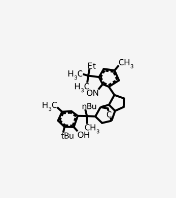 CCCCC(C)(c1cc(C)cc(C(C)(C)C)c1O)C1CC2CCC1C1C(c3cc(C)cc(C(C)(C)CC)c3N=O)CCC21